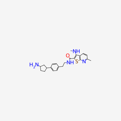 CNc1c(C(=O)NCCc2ccc(C3CCC(N)C3)cc2)sc2nc(C)ccc12